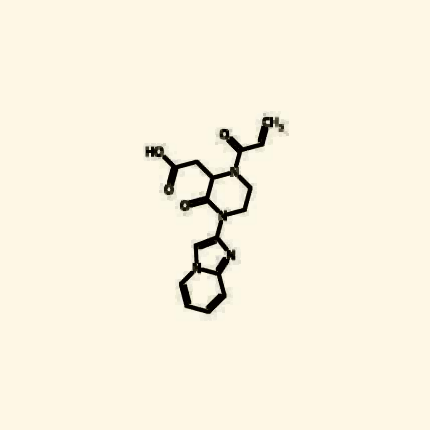 C=CC(=O)N1CCN(c2cn3ccccc3n2)C(=O)C1CC(=O)O